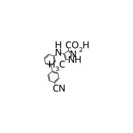 Cc1[nH]nc(C(=O)O)c1Nc1cccc(-c2ccc(C#N)cc2)c1